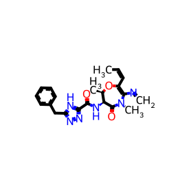 C=NC1=C(/C=C\C)O[C@H](C)[C@H](NC(=O)c2nnc(Cc3ccccc3)[nH]2)C(=O)N1C